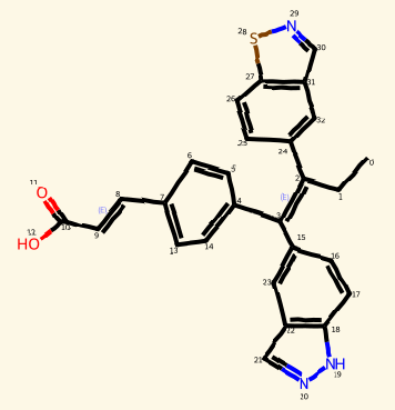 CC/C(=C(/c1ccc(/C=C/C(=O)O)cc1)c1ccc2[nH]ncc2c1)c1ccc2sncc2c1